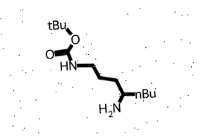 CCCCC(N)CCCNC(=O)OC(C)(C)C